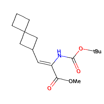 COC(=O)/C(=C/C1CC2(CCC2)C1)NC(=O)OC(C)(C)C